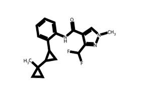 Cn1cc(C(=O)Nc2ccccc2C2CC2C2(C)CC2)c(C(F)F)n1